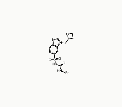 CC(C)NC(=O)NS(=O)(=O)c1ccc2ncn(CC3CCO3)c2c1